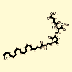 CC/C=C\C/C=C\C/C=C\C/C=C\C/C=C\C/C=C\CCC(=O)NCCN1C(=O)CC(SC[C@H](NC(=O)C=CC(=O)OC)C(=O)OC)C1=O